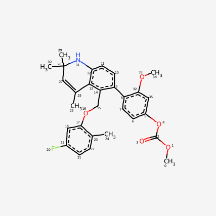 COC(=O)Oc1ccc(-c2ccc3c(c2COc2cc(F)ccc2C)C(C)=CC(C)(C)N3)c(OC)c1